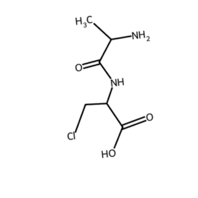 CC(N)C(=O)NC(CCl)C(=O)O